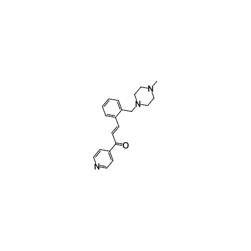 CN1CCN(Cc2ccccc2/C=C/C(=O)c2ccncc2)CC1